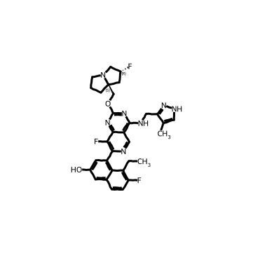 CCc1c(F)ccc2cc(O)cc(-c3ncc4c(NCc5n[nH]cc5C)nc(OC[C@@]56CCCN5C[C@H](F)C6)nc4c3F)c12